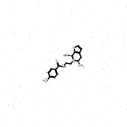 CCCC[C@H]1c2sccc2C[C@@H](C)N1CCNC(=O)c1ccc(N)cc1